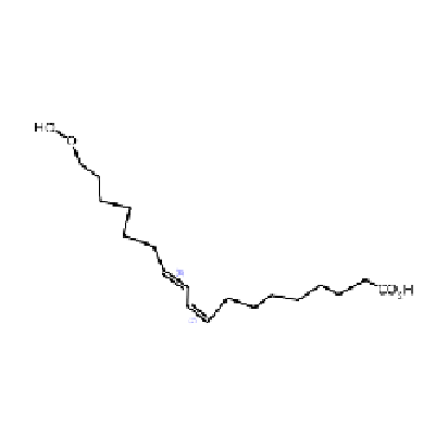 O=C(O)CCCCCCC/C=C\C=C\CCCCCCOO